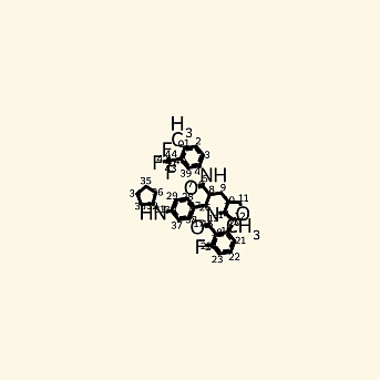 Cc1ccc(NC(=O)C2CC3COCC3N(C(=O)c3c(C)cccc3F)C2c2ccc(NC3CCCC3)cc2)cc1C(F)(F)F